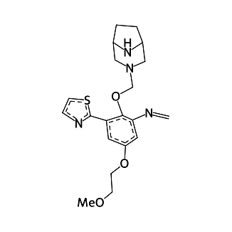 C=Nc1cc(OCCOC)cc(-c2nccs2)c1OCN1CC2CCC(C1)N2